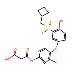 Cc1cc(NC(=O)CC(=O)O)ccc1Oc1ccc(O)c(S(=O)(=O)CC2CCC2)c1